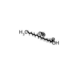 CCCCCCCCCCCCCCCCCC(=O)O.O=[Si]=O